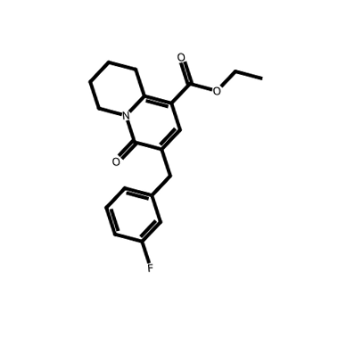 CCOC(=O)c1cc(Cc2cccc(F)c2)c(=O)n2c1CCCC2